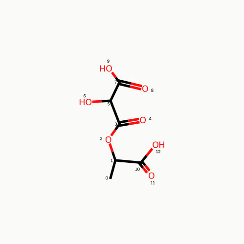 CC(OC(=O)C(O)C(=O)O)C(=O)O